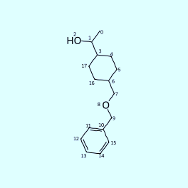 CC(O)C1CCC(COCc2ccccc2)CC1